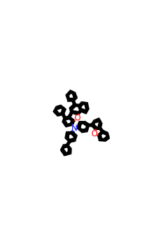 C1=CC(c2cc3c(oc4c(N(c5ccc(-c6ccccc6)cc5)c5ccc(-c6cccc7c6oc6ccccc67)cc5)ccc(-c5ccccc5)c43)c3ccccc23)=CCC1